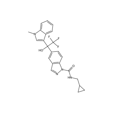 Cn1cc(C(O)(c2ccc3c(cnn3C(=O)NCC3CC3)c2)C(F)(F)F)c2ccccc21